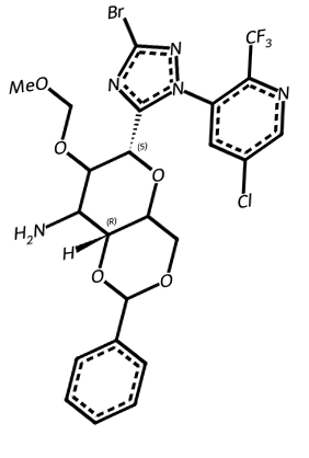 COCOC1C(N)[C@H]2OC(c3ccccc3)OCC2O[C@H]1c1nc(Br)nn1-c1cc(Cl)cnc1C(F)(F)F